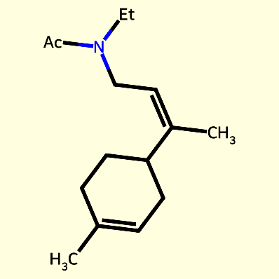 CCN(C/C=C(/C)C1CC=C(C)CC1)C(C)=O